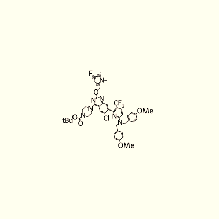 COc1ccc(CN(Cc2ccc(OC)cc2)c2ccc(C(F)(F)F)c(-c3cc4nc(OC[C@@H]5C[C@@H](F)[C@H](C)N5C)nc(N5CCN(C(=O)OC(C)(C)C)CC5)c4cc3Cl)n2)cc1